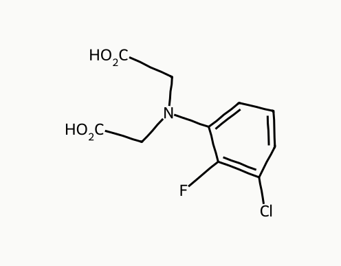 O=C(O)CN(CC(=O)O)c1cccc(Cl)c1F